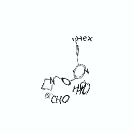 CCCCCCC#Cc1cncc(OCN2CC[C@H]2C=O)c1.Cl.Cl